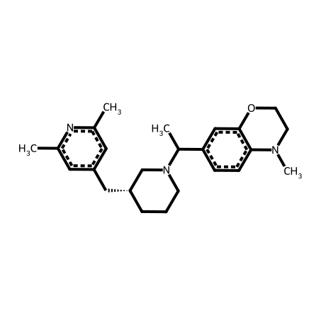 Cc1cc(C[C@H]2CCCN(C(C)c3ccc4c(c3)OCCN4C)C2)cc(C)n1